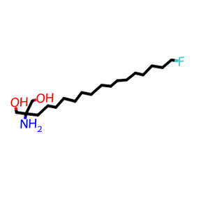 NC(CO)(CO)CCCCCCCCCCCCCCCCF